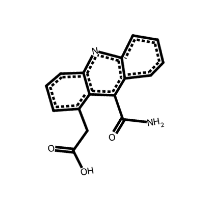 NC(=O)c1c2ccccc2nc2cccc(CC(=O)O)c12